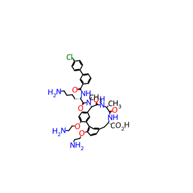 C[C@@H]1NC(=O)[C@@H](N(C)C(=O)[C@H](CCCCN)NC(=O)c2cccc(-c3ccc(Cl)cc3)c2)c2ccc(OCCN)c(c2)-c2cc(ccc2OCCN)C[C@@H](C(=O)O)NC1=O